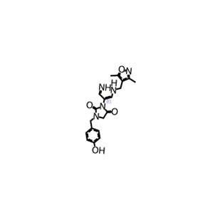 Cc1noc(C)c1CN/C=C(\C=N)N1C(=O)CN(Cc2ccc(O)cc2)C1=O